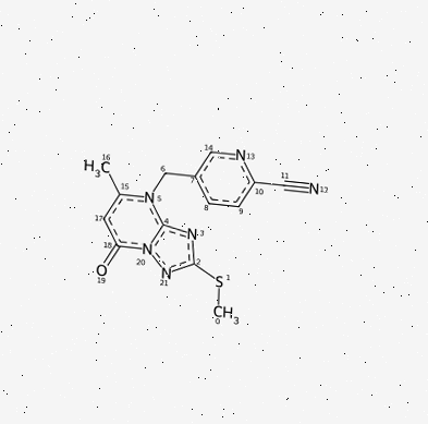 CSc1nc2n(Cc3ccc(C#N)nc3)c(C)cc(=O)n2n1